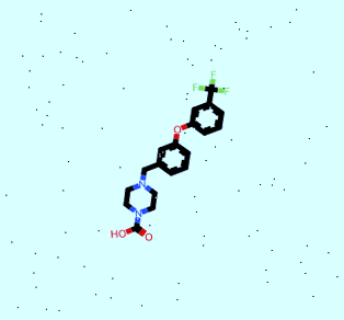 O=C(O)N1CCN(Cc2cccc(Oc3cccc(C(F)(F)F)c3)c2)CC1